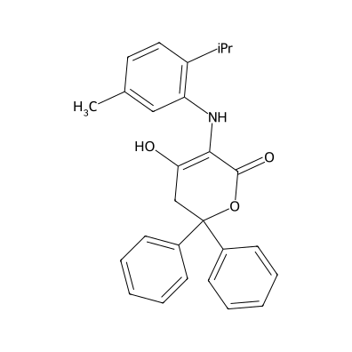 Cc1ccc(C(C)C)c(NC2=C(O)CC(c3ccccc3)(c3ccccc3)OC2=O)c1